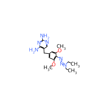 CCN(CC)N=Nc1c(OC)cc(Cc2cnc(N)nc2N)cc1OC